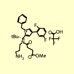 COC(=O)CCC(=O)N(CCCN)[C@@H](c1cc(-c2cc(F)ccc2F)cn1Cc1ccccc1)C(C)(C)C.O=C(O)C(F)(F)F